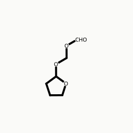 O=COCOC1CCCO1